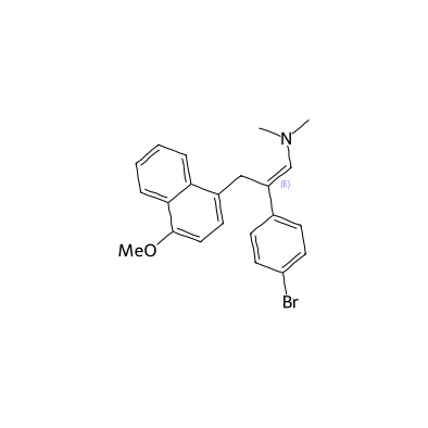 COc1ccc(C/C(=C\N(C)C)c2ccc(Br)cc2)c2ccccc12